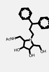 CC(=O)NCC1C(O)C(O)C(CO)N1CCC(c1ccccc1)c1ccccc1